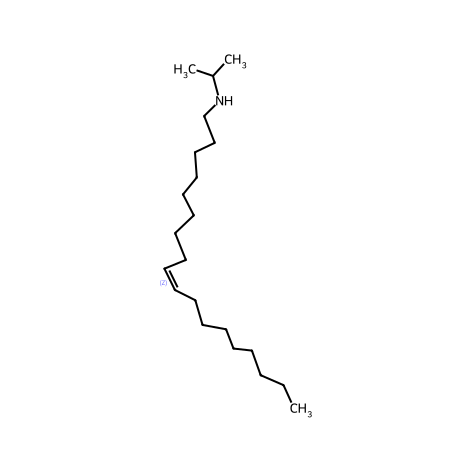 CCCCCCCC/C=C\CCCCCCCCNC(C)C